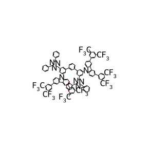 FC(F)(F)c1cc(-c2ccc3c(c2)c2cc(-c4cc(C(F)(F)F)cc(C(F)(F)F)c4)ccc2n3-c2cc(-c3cccc(-c4cc(-c5nc(-c6ccccc6)nc(-c6ccccc6)n5)cc(-n5c6ccc(-c7cc(C(F)(F)F)cc(C(F)(F)F)c7)cc6c6cc(-c7cc(C(F)(F)F)cc(C(F)(F)F)c7)ccc65)c4)c3)cc(-c3nc(-c4ccccc4)nc(-c4ccccc4)n3)c2)cc(C(F)(F)F)c1